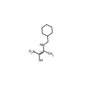 C/C(NCC1CCCCC1)=C(\S)[N+](=O)[O-]